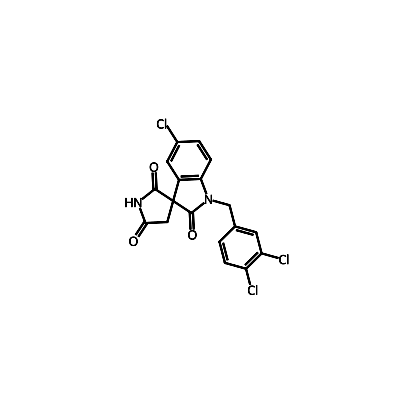 O=C1CC2(C(=O)N1)C(=O)N(Cc1ccc(Cl)c(Cl)c1)c1ccc(Cl)cc12